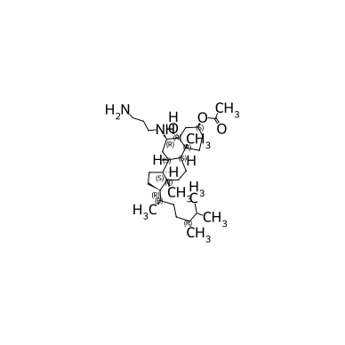 CC(=O)O[C@H]1CC[C@]2(C)[C@H]3CC[C@]4(C)[C@@H]([C@H](C)CC[C@@H](C)C(C)C)CC[C@H]4[C@@H]3C[C@@H](NCCCN)[C@@]2(O)C1